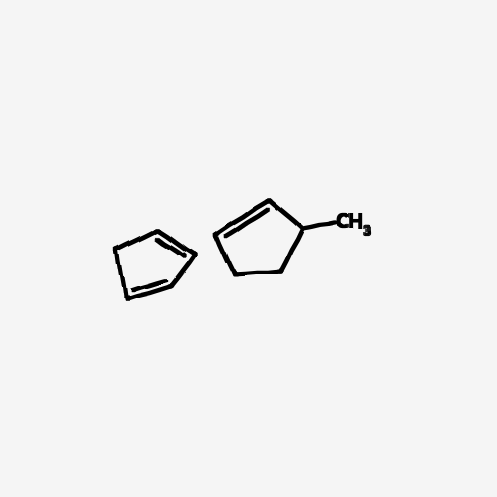 C1=CCC=C1.CC1C=CCC1